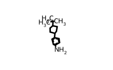 CC(C)(C)C1CCC(c2ccc(N)cc2)CC1